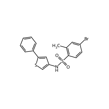 Cc1cc(Br)ccc1S(=O)(=O)Nc1csc(-c2ccccc2)c1